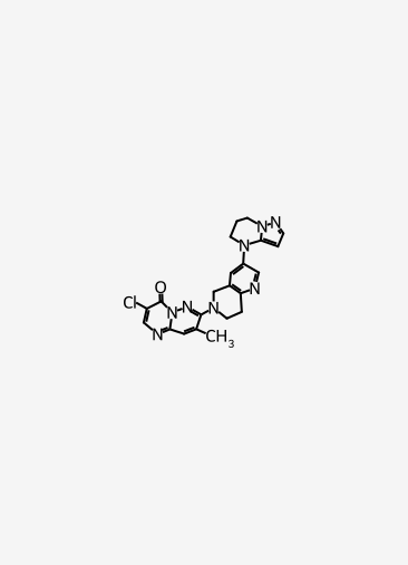 Cc1cc2ncc(Cl)c(=O)n2nc1N1CCc2ncc(N3CCCn4nccc43)cc2C1